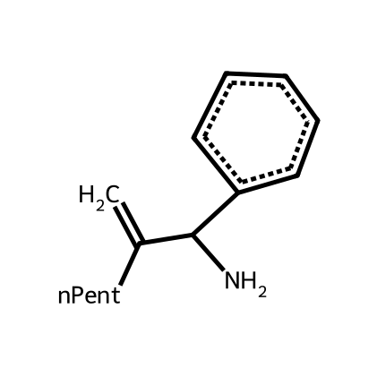 C=C(CCCCC)C(N)c1ccccc1